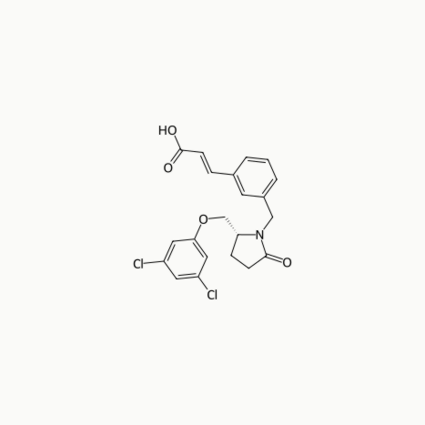 O=C(O)/C=C/c1cccc(CN2C(=O)CC[C@@H]2COc2cc(Cl)cc(Cl)c2)c1